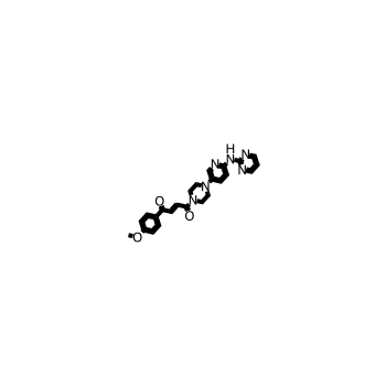 COc1ccc(C(=O)/C=C/C(=O)N2CCN(c3ccc(Nc4ncccn4)nc3)CC2)cc1